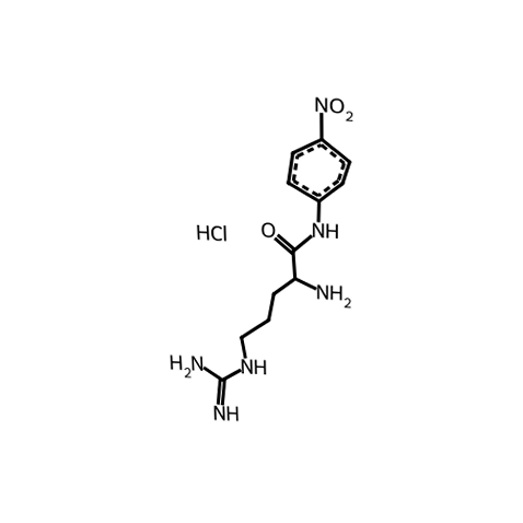 Cl.N=C(N)NCCCC(N)C(=O)Nc1ccc([N+](=O)[O-])cc1